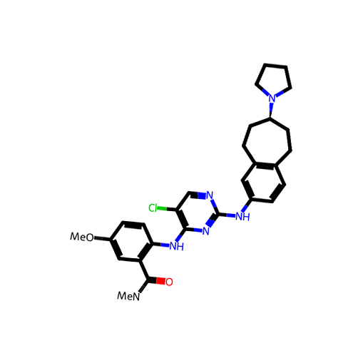 CNC(=O)c1cc(OC)ccc1Nc1nc(Nc2ccc3c(c2)CC[C@@H](N2CCCC2)CC3)ncc1Cl